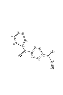 N#CC(Br)c1ccc(C(=O)c2ccccc2)cc1